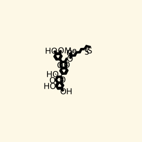 COc1cc(C2Oc3cc([C@H]4Oc5cc(O)cc(O)c5C(=O)[C@@H]4O)ccc3OC2COC(=O)CCCCC2CCSS2)ccc1O